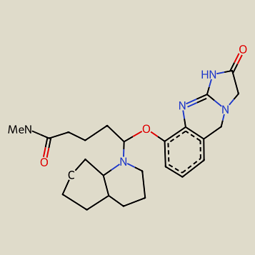 CNC(=O)CCCC(Oc1cccc2c1N=C1NC(=O)CN1C2)N1CCCC2CCCCC21